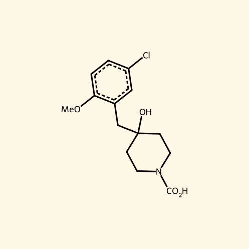 COc1ccc(Cl)cc1CC1(O)CCN(C(=O)O)CC1